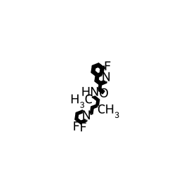 CC(CCN1CCCC(F)(F)C1)C[C@H](C)NC(=O)c1cnc2c(F)cccc2c1